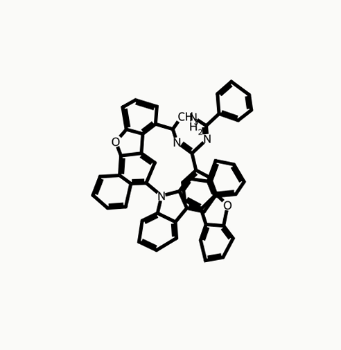 CC(/N=C(\N=C(/N)c1ccccc1)c1ccc2c(c1)oc1ccccc12)c1cccc2oc3c4ccccc4c(-n4c5ccccc5c5cc6ccccc6cc54)cc3c12